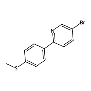 CSc1ccc(-c2ccc(Br)cn2)cc1